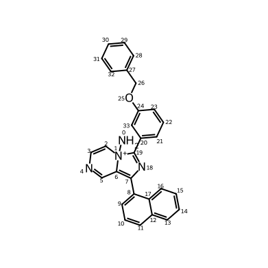 N[N+]12C=CN=CC1=C(c1cccc3ccccc13)N=C2c1cccc(OCc2ccccc2)c1